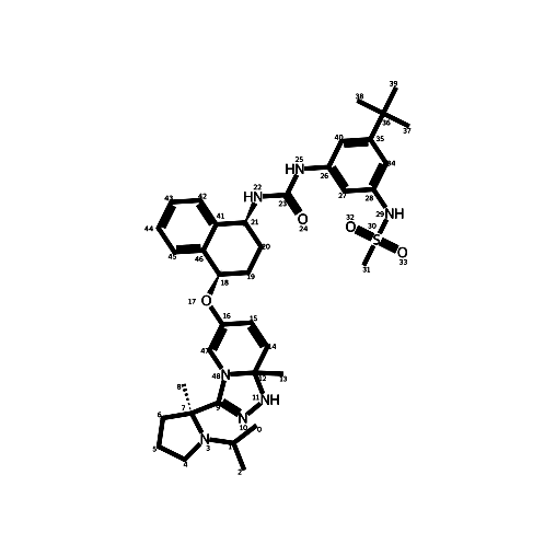 CC(C)N1CCC[C@@]1(C)C1=NNC2(C)C=CC(O[C@@H]3CC[C@H](NC(=O)Nc4cc(NS(C)(=O)=O)cc(C(C)(C)C)c4)c4ccccc43)=CN12